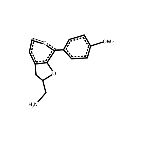 COc1ccc(-c2cccc3c2OC(CN)C3)cc1